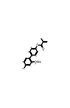 C=C(C)C(=O)Oc1ccc(-c2ccc(I)cc2OC)cc1